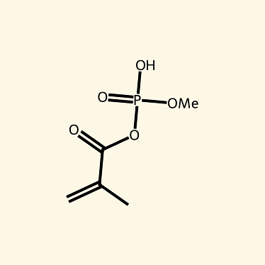 C=C(C)C(=O)OP(=O)(O)OC